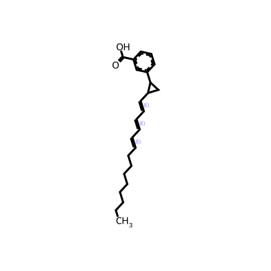 CCCCCCCC/C=C/C=C/C=C/C1CC1c1cccc(C(=O)O)c1